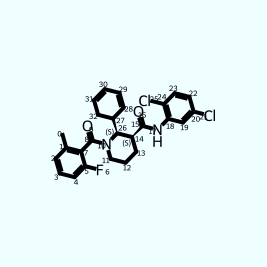 Cc1cccc(F)c1C(=O)N1CCC[C@H](C(=O)Nc2cc(Cl)ccc2Cl)[C@@H]1C1C=CC=CC1